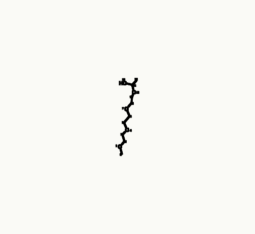 COCCOCCOCCOC(C)O